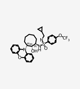 O=S(=NCC1CC1)(N[C@@H]1CCCCC[C@@H](N2c3ccccc3Oc3ccccc32)[C@H]1O)c1ccc(OC(F)(F)F)cc1